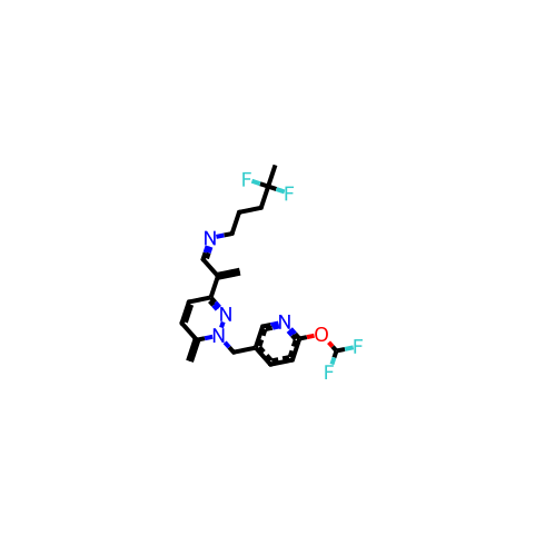 C=C(/C=N\CCCC(C)(F)F)C1=NN(Cc2ccc(OC(F)F)nc2)C(=C)C=C1